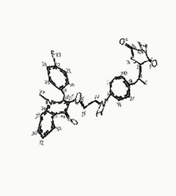 CC(=C1SC(=O)NC1=O)c1ccc(NCCOc2c(-c3ccc(F)cc3)n(C)c3ccccc3c2=O)cc1